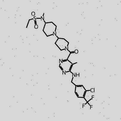 CCS(=O)(=O)N(C)C1CCN(C2CCN(C(=O)c3ncnc(NCc4ccc(C(F)(F)F)c(Cl)c4)c3C)CC2)CC1